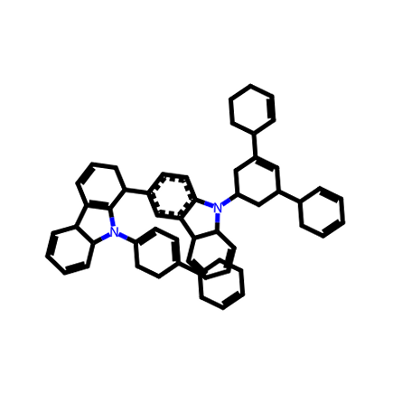 C1=CCC(C2C=C(C3C=CCCC3)CC(N3c4ccc(C5CC=CC6=C5N(C5=CC=C(C7CC=CCC7)CC5)C5C=CC=CC65)cc4C4C=CC=CC43)C2)C=C1